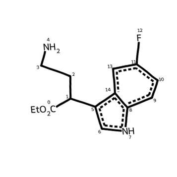 CCOC(=O)C(CCN)c1c[nH]c2ccc(F)cc12